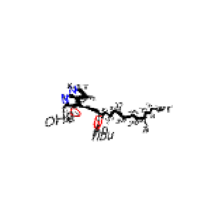 CCCCO[C@@](C)(C#Cc1c2c(nc(C)c1OC=O)N(C)CC2)CCC[C@H](C)CCC[C@H](C)CCCC(C)C